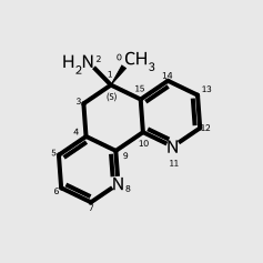 C[C@]1(N)Cc2cccnc2-c2ncccc21